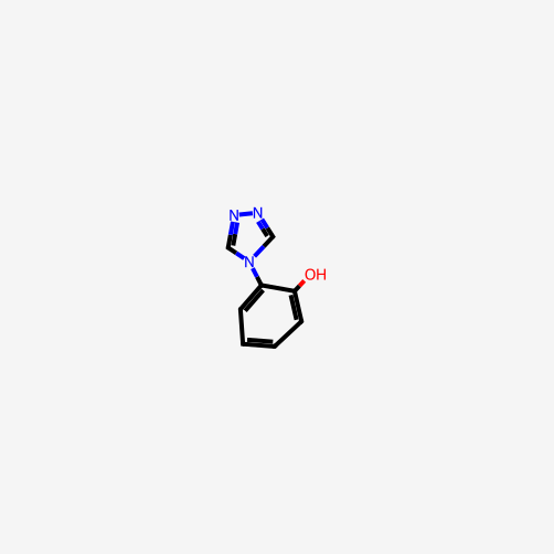 Oc1ccccc1-n1cnnc1